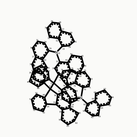 c1ccc(C2(C3(c4ccccc4)c4ccccc4-c4c3cc(N(c3cccc5ccccc35)c3cccc5ccccc35)c3ccccc43)c3ccccc3-c3c2cc(N(c2cccc4ccccc24)c2cccc4ccccc24)c2ccccc32)cc1